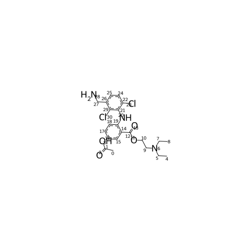 CC(=O)O.CCN(CC)CCOC(=O)c1ccccc1Nc1c(Cl)ccc(CN)c1Cl